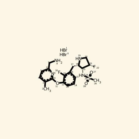 Br.Br.Cc1ccc(CN)nc1Oc1cccc(C[C@@H]2NC[C@H](F)[C@@H]2NS(C)(=O)=O)c1F